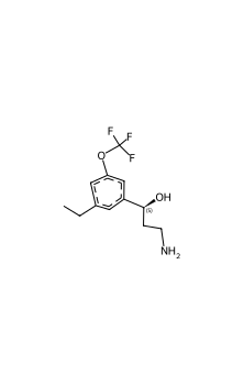 CCc1cc(OC(F)(F)F)cc([C@@H](O)CCN)c1